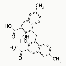 CC(=O)c1cc2cc(C)ccc2c(Cc2c(O)c(C(=O)O)cc3cc(C)ccc23)c1O